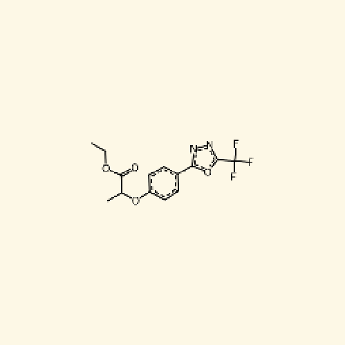 CCOC(=O)C(C)Oc1ccc(-c2nnc(C(F)(F)F)o2)cc1